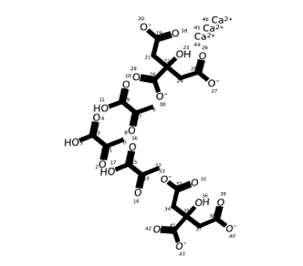 CC(=O)C(=O)O.CC(=O)C(=O)O.CC(=O)C(=O)O.O=C([O-])CC(O)(CC(=O)[O-])C(=O)[O-].O=C([O-])CC(O)(CC(=O)[O-])C(=O)[O-].[Ca+2].[Ca+2].[Ca+2]